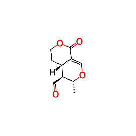 C[C@H]1OC=C2C(=O)OCC[C@H]2[C@@H]1C=O